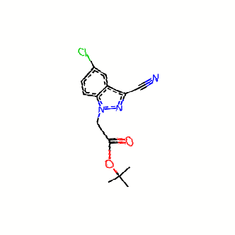 CC(C)(C)OC(=O)Cn1nc(C#N)c2cc(Cl)ccc21